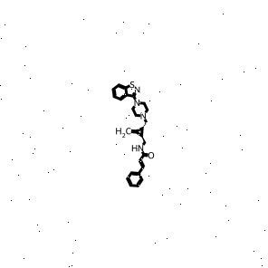 C=C1[C@H](CNC(=O)/C=C/c2ccccc2)[C@H]1CN1CCN(c2nsc3ccccc23)CC1